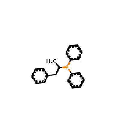 CC(Cc1ccccc1)P(c1ccccc1)c1ccccc1